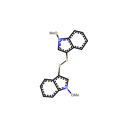 COn1cc(SSc2cn(OC)c3ccccc23)c2ccccc21